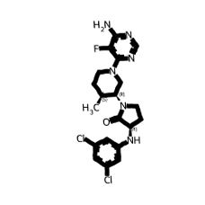 C[C@H]1CCN(c2ncnc(N)c2F)C[C@@H]1N1CC[C@@H](Nc2cc(Cl)cc(Cl)c2)C1=O